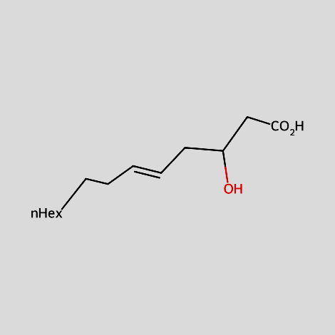 CCCCCCCCC=CCC(O)CC(=O)O